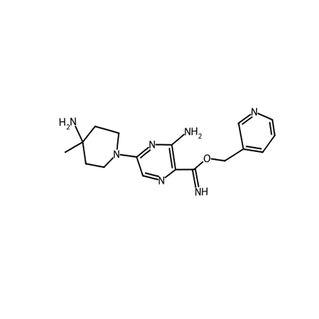 CC1(N)CCN(c2cnc(C(=N)OCc3cccnc3)c(N)n2)CC1